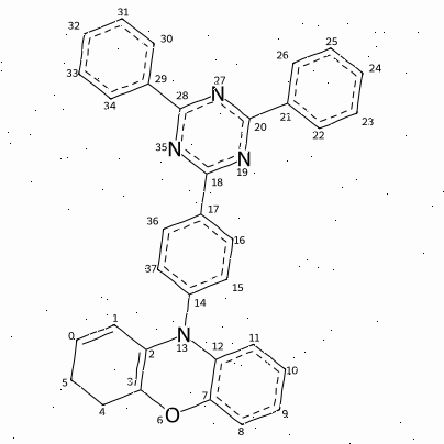 C1=CC2=C(CC1)Oc1ccccc1N2c1ccc(-c2nc(-c3ccccc3)nc(-c3ccccc3)n2)cc1